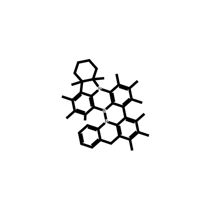 Cc1c(C)c2c3c(c1C)-c1c(C)c(C)c(C)c4c1B(c1c(C)c(C)c(C)c5c1N4C1(C)CCCCC51C)N3c1ccccc1C2